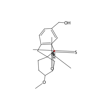 COC1CCC2(CC1)Cc1ccc(CO)cc1C21NC(=S)N(C)C1=O